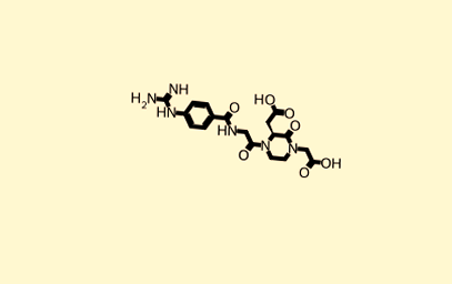 N=C(N)Nc1ccc(C(=O)NCC(=O)N2CCN(CC(=O)O)C(=O)[C@@H]2CC(=O)O)cc1